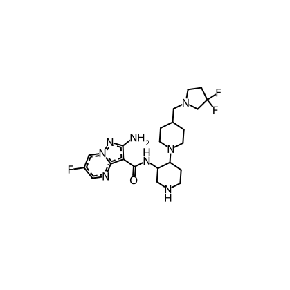 Nc1nn2cc(F)cnc2c1C(=O)NC1CNCCC1N1CCC(CN2CCC(F)(F)C2)CC1